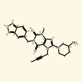 CC#CCn1c(N2CCCC(N)C2)nc2c1c(=O)n(Cc1ccc3nonc3c1)c(=O)n2C